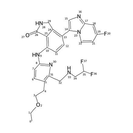 CCOCCc1ccc(Nc2ccc(-c3cnc4cc(F)ccn34)c3c2C(=O)NC3)nc1CNCC(F)F